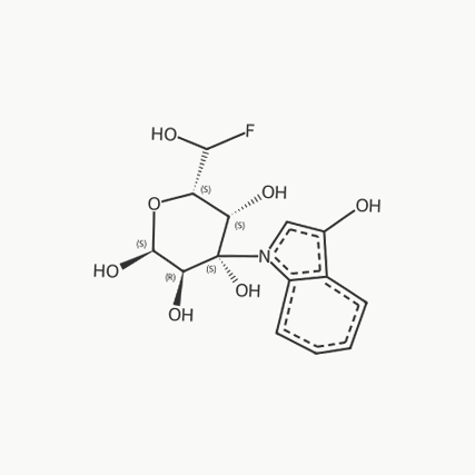 Oc1cn([C@]2(O)[C@@H](O)[C@@H](C(O)F)O[C@H](O)[C@@H]2O)c2ccccc12